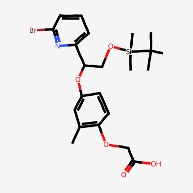 Cc1cc(OC(CO[Si](C)(C)C(C)(C)C)c2cccc(Br)n2)ccc1OCC(=O)O